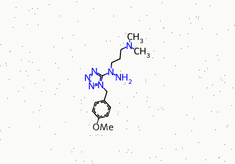 COc1ccc(Cn2nnnc2N(N)CCCN(C)C)cc1